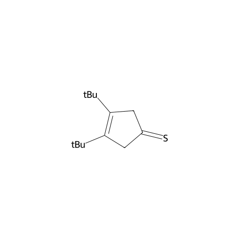 CC(C)(C)C1=C(C(C)(C)C)CC(=S)C1